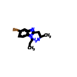 CCCn1c(CC(C)N)nc2cc(Br)ccc21